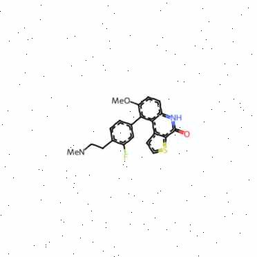 CNCCc1ccc(-c2c(OC)ccc3[nH]c(=O)c4sccc4c23)cc1F